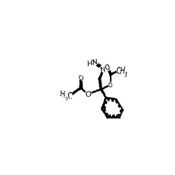 CC(=O)OC(CN=N)(OC(C)=O)c1ccccc1